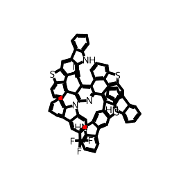 N#Cc1c(-c2cccc3sc4cc5c(cc4c23)[nH]c2ccccc25)c(-c2cccc3sc4cc5c(cc4c23)[nH]c2ccccc25)nc(-n2c3ccccc3c3cc(C(F)(F)F)ccc32)c1-c1cccc2sc3cc4c(cc3c12)[nH]c1ccccc14